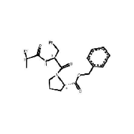 CC(C)C[C@H](NC(=O)[C@@H](C)C(C)C)C(=O)N1CCC[C@H]1C(=O)OCc1ccccc1